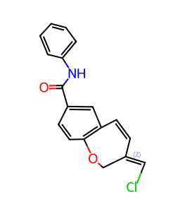 O=C(Nc1ccccc1)c1ccc2c(c1)C=C/C(=C/Cl)CO2